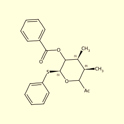 CC(=O)C1O[C@@H](Sc2ccccc2)C(OC(=O)c2ccccc2)[C@@H](C)[C@H]1C